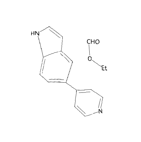 CCOC=O.c1cc(-c2ccc3[nH]ccc3c2)ccn1